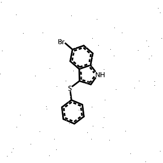 Brc1ccc2[nH]cc(Sc3ccccc3)c2c1